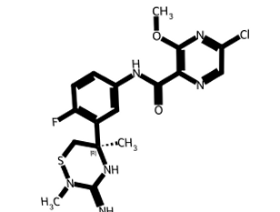 COc1nc(Cl)cnc1C(=O)Nc1ccc(F)c([C@]2(C)CSN(C)C(=N)N2)c1